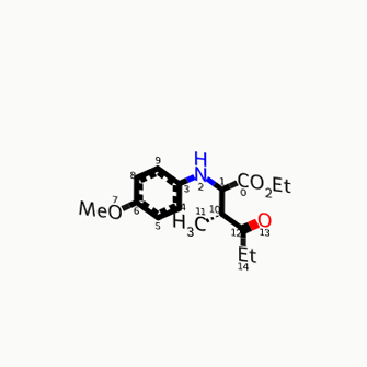 CCOC(=O)C(Nc1ccc(OC)cc1)[C@@H](C)C(=O)CC